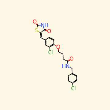 O=C(CCCOc1ccc(C=C2SC(=O)NC2=O)cc1Cl)NCc1ccc(Cl)cc1